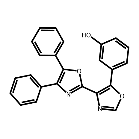 Oc1cccc(-c2ocnc2-c2nc(-c3ccccc3)c(-c3ccccc3)o2)c1